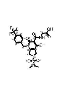 CN(C)S(=O)(=O)N1Cc2c(O)c(C(=O)NCC(=O)O)c(=O)n(Cc3ccc(C(F)(F)F)cc3)c2C1